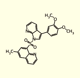 COc1ccc(-c2cn(S(=O)(=O)c3cc(C)cc4cccnc34)c3ncccc23)cc1OC